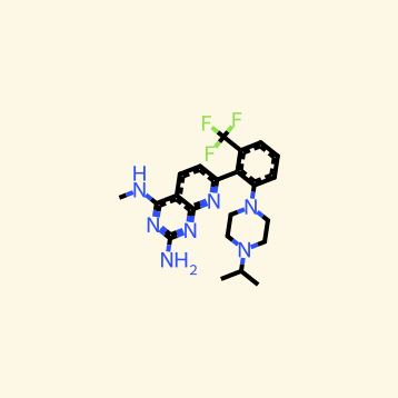 CNc1nc(N)nc2nc(-c3c(N4CCN(C(C)C)CC4)cccc3C(F)(F)F)ccc12